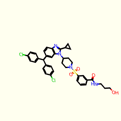 O=C(NCCCO)c1cccc(S(=O)(=O)N2CCC(n3c(C4CC4)nc4ccc(C(c5ccc(Cl)cc5)c5ccc(Cl)cc5)cc43)CC2)c1